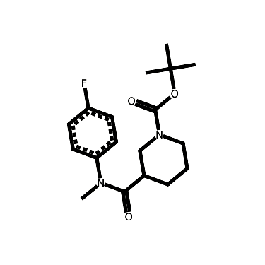 CN(C(=O)C1CCCN(C(=O)OC(C)(C)C)C1)c1ccc(F)cc1